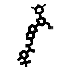 Cc1ccc(C(=O)NCc2cc3nc(-c4cc(CO)cc(N5C[C@@H](C)O[C@@H](C)C5)n4)ccc3cn2)cc1S(C)(=O)=O